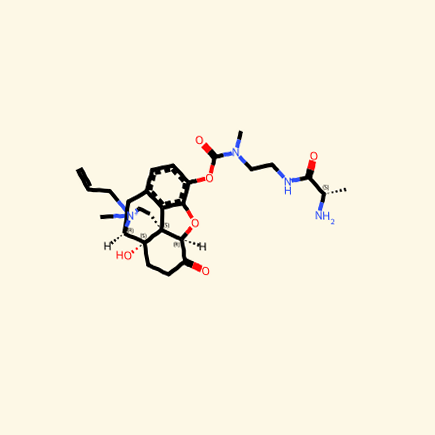 C=CC[N+]1(C)CC[C@]23c4c5ccc(OC(=O)N(C)CCNC(=O)[C@H](C)N)c4O[C@H]2C(=O)CC[C@@]3(O)[C@H]1C5